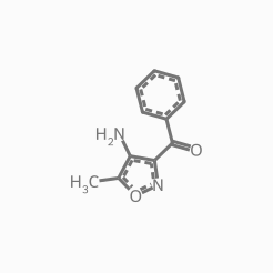 Cc1onc(C(=O)c2ccccc2)c1N